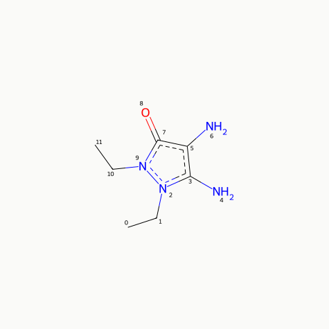 CCn1c(N)c(N)c(=O)n1CC